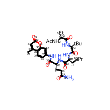 CC[C@H](NC(C)=O)C(=O)N[C@H](C(=O)N[C@@H](CC(C)C)C(=O)N[C@@H](CCC(N)=O)C(=O)Nc1ccc2c(C)cc(=O)oc2c1)C(C)(C)C